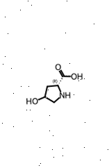 O=C(O)[C@H]1CC(O)CN1